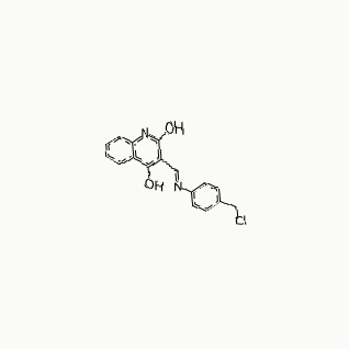 Oc1nc2ccccc2c(O)c1C=Nc1ccc(CCl)cc1